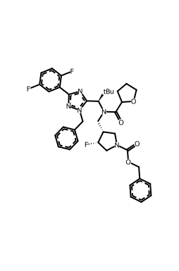 CC(C)(C)[C@H](c1nc(-c2cc(F)ccc2F)nn1Cc1ccccc1)N(C[C@@H]1CN(C(=O)OCc2ccccc2)C[C@@H]1F)C(=O)C1CCCO1